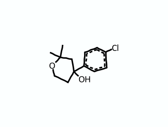 CC1(C)CC(O)(c2ccc(Cl)cc2)CCO1